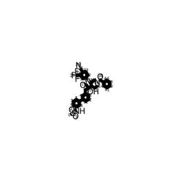 CS(=O)(=O)Nc1cccc(-c2cccc(CC(O)(C(=O)Nc3ccc(C#N)c(C(F)(F)F)c3)C3CCN(C(=O)c4ccccc4)CC3)c2)c1